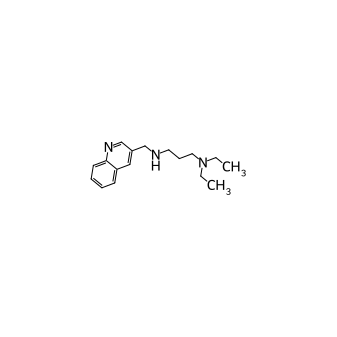 CCN(CC)CCCNCc1cnc2ccccc2c1